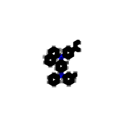 CCC(C)c1ccc(N(c2ccc(N(c3ccccc3)c3cccc(C)c3)cc2)c2cccc3ccccc23)cc1